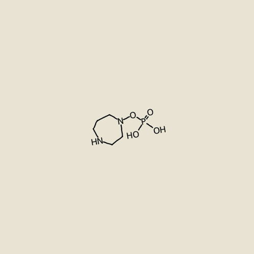 O=P(O)(O)ON1CCCNCC1